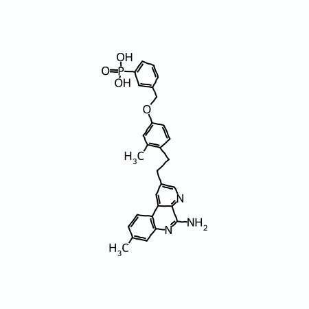 Cc1ccc2c(c1)nc(N)c1ncc(CCc3ccc(OCc4cccc(P(=O)(O)O)c4)cc3C)cc12